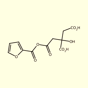 O=C(O)CC(O)(CC(=O)OC(=O)c1ccco1)C(=O)O